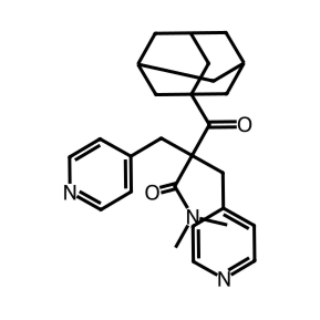 CN(C)C(=O)C(Cc1ccncc1)(Cc1ccncc1)C(=O)C12CC3CC(CC(C3)C1)C2